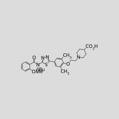 CCCCN(C(=O)c1ccccc1OC)c1nnc(-c2cc(C)c(OCCN3CCC(C(=O)O)CC3)c(C)c2)s1